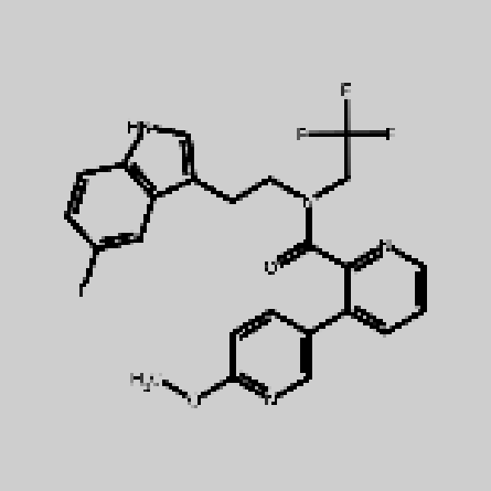 COc1ccc(-c2cccnc2C(=O)N(CCc2c[nH]c3ccc(F)cc23)CC(F)(F)F)cn1